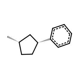 C[C@H]1CC[C@@H](c2ccccc2)C1